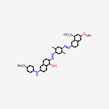 CCCOc1cc(S(=O)(=O)O)c2cc(N=Nc3cc(C)c(N=Nc4ccc5cc(Nc6ccc(OC)cc6)ccc5c4O)cc3C)ccc2c1